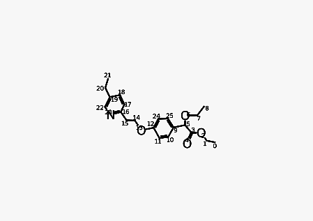 CCOC(=O)C(OCC)c1ccc(OCCc2ccc(CC)cn2)cc1